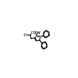 CCC(CC1=CC(c2ccccc2)N(c2ccccc2)N1O)C(=O)O